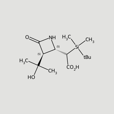 CC(C)(O)[C@H]1C(=O)N[C@@H]1C(C(=O)O)[Si](C)(C)C(C)(C)C